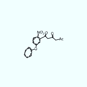 CC(=O)CC(=O)CC(=O)c1cc(Oc2ccccc2)ccc1[N+](=O)[O-]